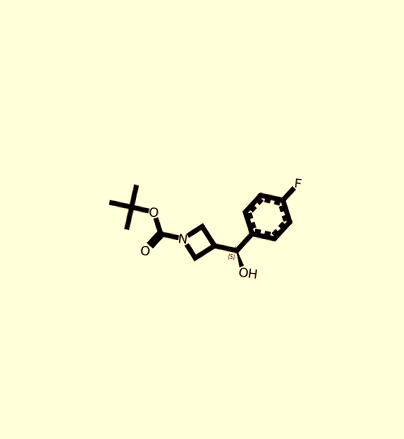 CC(C)(C)OC(=O)N1CC([C@H](O)c2ccc(F)cc2)C1